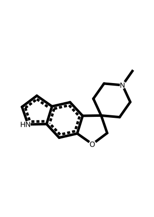 CN1CCC2(CC1)COc1cc3[nH]ccc3cc12